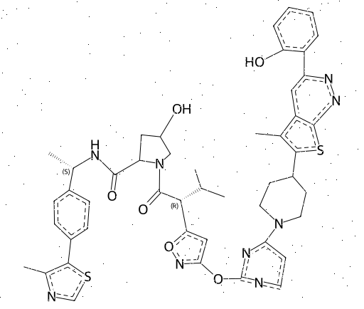 Cc1ncsc1-c1ccc([C@H](C)NC(=O)C2CC(O)CN2C(=O)[C@@H](c2cc(Oc3nccc(N4CCC(c5sc6nnc(-c7ccccc7O)cc6c5C)CC4)n3)no2)C(C)C)cc1